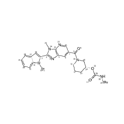 CCn1c(-c2nc3cc(C(=O)N4CCC[C@@H](OC(=O)NC(C)(C)C)C4)cnc3n2C)cc2ccccc21